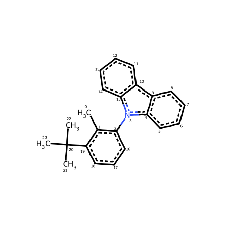 Cc1c(-n2c3ccccc3c3ccccc32)cccc1C(C)(C)C